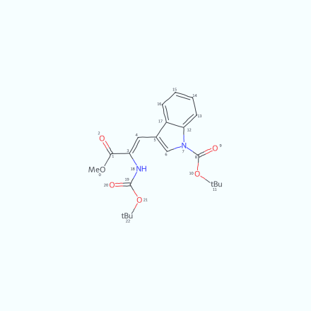 COC(=O)/C(=C/c1cn(C(=O)OC(C)(C)C)c2ccccc12)NC(=O)OC(C)(C)C